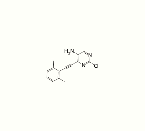 Cc1cccc(C)c1C#Cc1nc(Cl)ncc1N